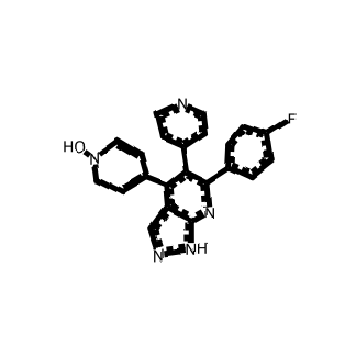 ON1C=CC(c2c(-c3ccncc3)c(-c3ccc(F)cc3)nc3[nH]ncc23)=CC1